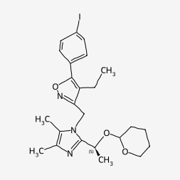 CCc1c(Cn2c([C@H](C)OC3CCCCO3)nc(C)c2C)noc1-c1ccc(I)cc1